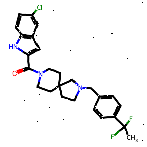 CC(F)(F)c1ccc(CN2CCC3(CCN(C(=O)c4cc5cc(Cl)ccc5[nH]4)CC3)C2)cc1